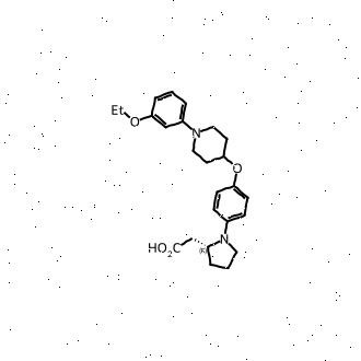 CCOc1cccc(N2CCC(Oc3ccc(N4CCC[C@@H]4CC(=O)O)cc3)CC2)c1